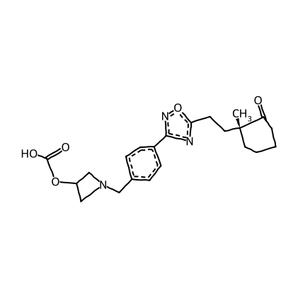 C[C@]1(CCc2nc(-c3ccc(CN4CC(OC(=O)O)C4)cc3)no2)CCCCC1=O